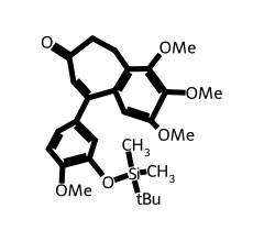 COc1ccc(C2=CC(=O)CCc3c2cc(OC)c(OC)c3OC)cc1O[Si](C)(C)C(C)(C)C